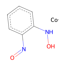 O=Nc1ccccc1NO.[Co]